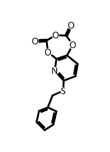 O=C1OC(=O)Oc2nc(SCc3ccccc3)ccc2O1